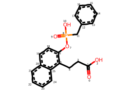 O=C(O)CCc1c(OP(=O)(O)Cc2ccccc2)ccc2ccccc12